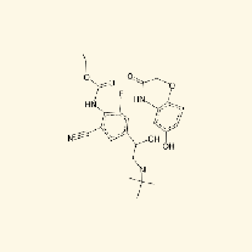 CCOC(=O)Nc1c(F)cc(C(O)CNC(C)(C)C)cc1C#N.O=C1COc2ccc(O)cc2N1